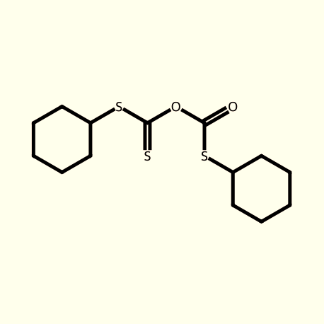 O=C(OC(=S)SC1CCCCC1)SC1CCCCC1